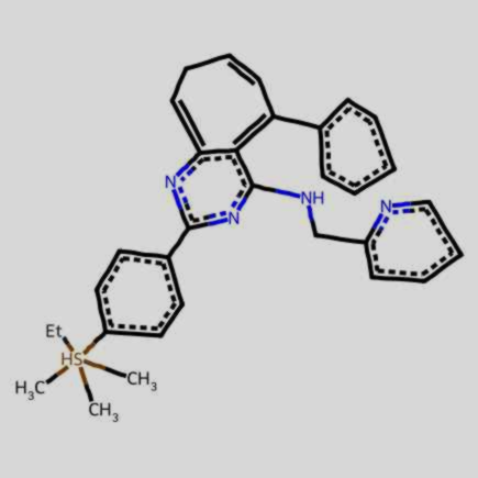 CC[SH](C)(C)(C)c1ccc(-c2nc(NCc3ccccn3)c3c(n2)=CCC=CC=3c2ccccc2)cc1